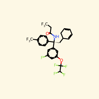 O=C(CC(F)(F)F)N[C@](CC1C=CC=CC1)(c1ccc(C(F)(F)F)cc1)c1cc(F)cc(OC(F)(F)C(F)F)c1